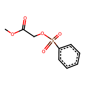 COC(=O)[CH]OS(=O)(=O)c1ccccc1